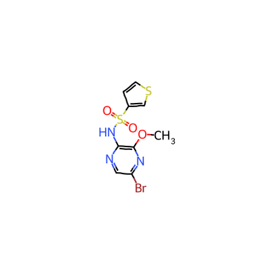 COc1nc(Br)cnc1NS(=O)(=O)c1ccsc1